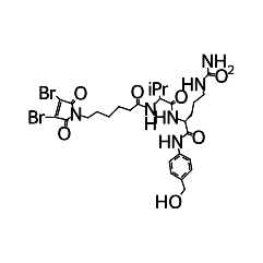 CC(C)C(NC(=O)CCCCCN1C(=O)C(Br)=C(Br)C1=O)C(=O)N[C@@H](CCCNC(N)=O)C(=O)Nc1ccc(CO)cc1